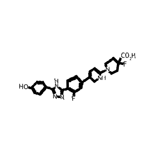 O=C(O)C1(F)CCN(C2=CC=C(c3ccc(-c4nnc(-c5ccc(O)cc5)[nH]4)c(F)c3)CN2)CC1